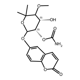 COC1[C@H](O)[C@H](OC(N)=O)C(Oc2ccc3oc(=O)ccc3c2)OC1(C)C